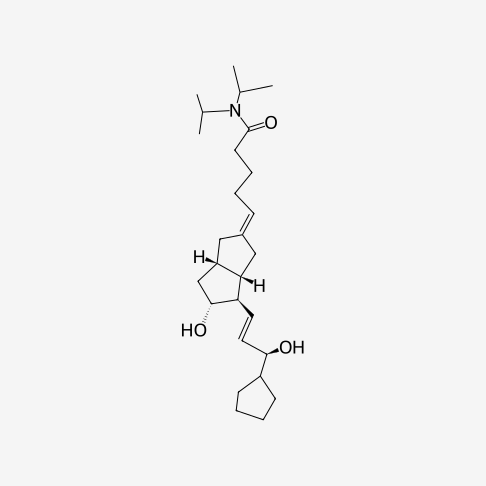 CC(C)N(C(=O)CCC/C=C1\C[C@H]2C[C@@H](O)[C@H](/C=C/[C@@H](O)C3CCCC3)[C@H]2C1)C(C)C